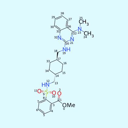 COC(=O)c1ccccc1S(=O)(=O)NC[C@H]1CC[C@H](CNc2nc(N(C)C)c3ccccc3n2)CC1